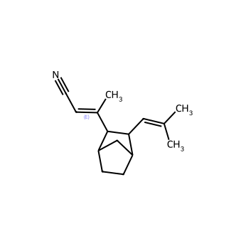 CC(C)=CC1C2CCC(C2)C1/C(C)=C/C#N